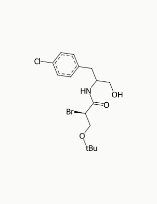 CC(C)(C)OC[C@@H](Br)C(=O)NC(CO)Cc1ccc(Cl)cc1